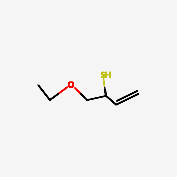 C=CC(S)COCC